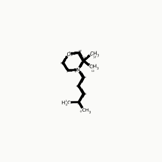 CC(C)CCCN1CCOCC1(C)C